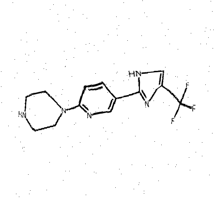 FC(F)(F)c1c[nH]c(-c2ccc(N3CCNCC3)nc2)n1